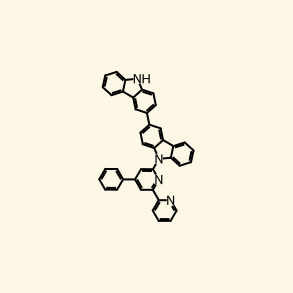 c1ccc(-c2cc(-c3ccccn3)nc(-n3c4ccccc4c4cc(-c5ccc6[nH]c7ccccc7c6c5)ccc43)c2)cc1